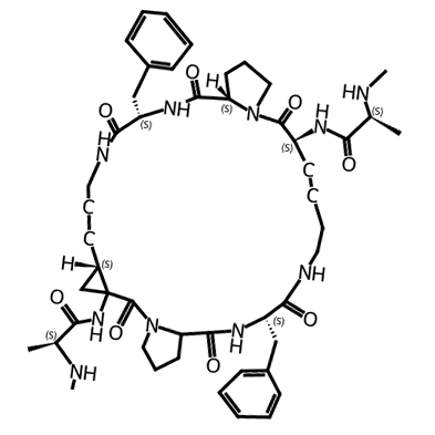 CN[C@@H](C)C(=O)N[C@H]1CCCCNC(=O)[C@H](Cc2ccccc2)NC(=O)C2CCCN2C(=O)C2(NC(=O)[C@H](C)NC)C[C@@H]2CCCNC(=O)[C@H](Cc2ccccc2)NC(=O)[C@@H]2CCCN2C1=O